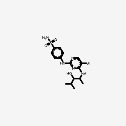 CC(C)C(O)C(C)Nc1nc(Nc2ccc(S(N)(=O)=O)cc2)ncc1Br